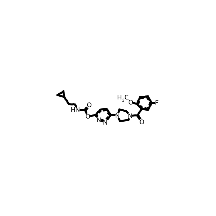 COc1ccc(F)cc1C(=O)N1CCN(c2ccc(OC(=O)NCCC3CC3)nn2)CC1